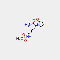 CS(=O)(=O)NCCCCC(C(N)=O)N1CCCC1=O